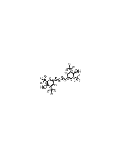 CC(C)(C)c1cc(SSSSc2cc(C(C)(C)C)c(O)c(C(C)(C)C)c2)cc(C(C)(C)C)c1O